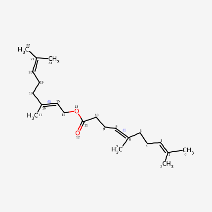 CC(C)=CCC/C(C)=C/CCC(=O)OC/C=C(\C)CCC=C(C)C